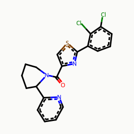 O=C(c1csc(-c2cccc(Cl)c2Cl)n1)N1CCCCC1c1ccccn1